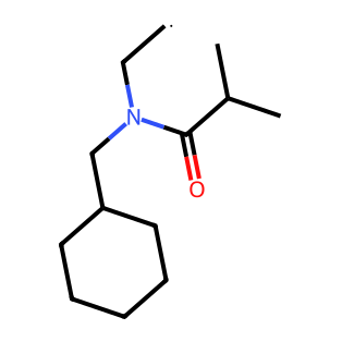 [CH2]CN(CC1CCCCC1)C(=O)C(C)C